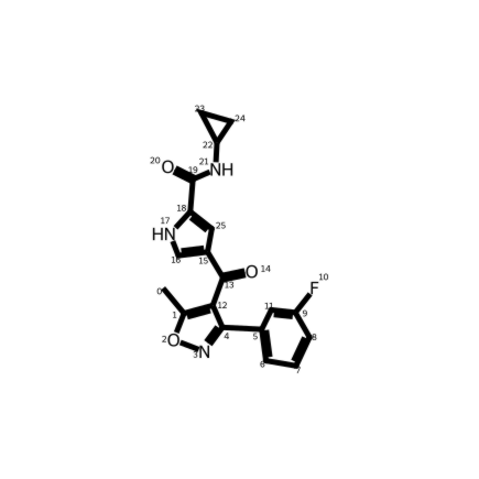 Cc1onc(-c2cccc(F)c2)c1C(=O)c1c[nH]c(C(=O)NC2CC2)c1